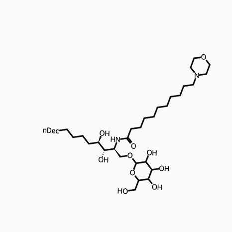 CCCCCCCCCCCCCC[C@@H](O)[C@@H](O)[C@H](COC1OC(CO)C(O)C(O)C1O)NC(=O)CCCCCCCCCCN1CCOCC1